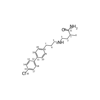 CC(CCNCCCc1ccc(-c2ccc(Cl)cc2)cc1)C(N)=O